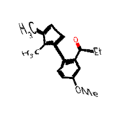 CCC(=O)c1cc(OC)ccc1C1=C(C)C(C)=CC1